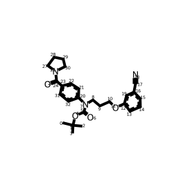 CC(C)(C)OC(=O)N(CCCOc1cccc(C#N)c1)c1ccc(C(=O)N2CCCC2)cc1